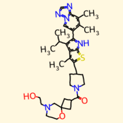 Cc1c(-c2[nH]c3sc(C4CCN(C(=O)C5CC6(C5)CN(CCO)CCO6)CC4)c(C)c3c2C(C)C)cn2ncnc2c1C